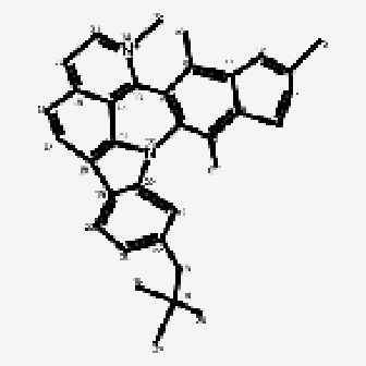 Cc1ccc2c(C)c3c(c(C)c2c1)c1c2c(ccc4c5ccc(CC(C)(C)C)cc5n3c42)cc[n+]1C